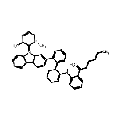 C=C(CCCCC)c1ccccc1NC1=CCCCC1c1ccccc1C1=CC2C(C=C1)C1C=CC=CC1N2C1C(C)C=CC[C@@H]1C